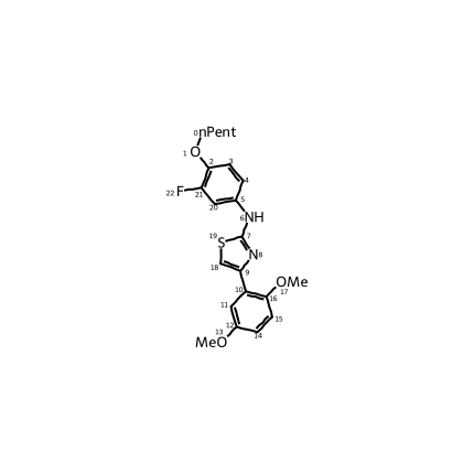 CCCCCOc1ccc(Nc2nc(-c3cc(OC)ccc3OC)cs2)cc1F